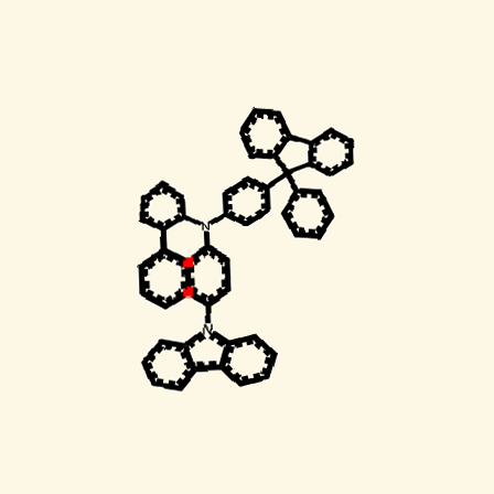 c1ccc(-c2ccccc2N(c2ccc(-n3c4ccccc4c4ccccc43)cc2)c2ccc(C3(c4ccccc4)c4ccccc4-c4ccccc43)cc2)cc1